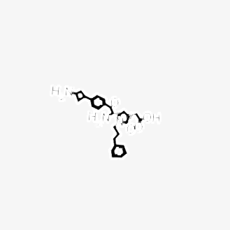 NC1CC(c2ccc(C(=O)C(N)[C@@H]3C[C@@H](CC(=O)O)C(=O)N3CCCc3ccccc3)cc2)C1